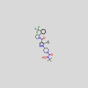 CC(C)(C)N(O)C(=O)N1CCC(n2ncc(C(=O)N3CCCC3c3ccccc3C(F)(F)F)c2C2CC2)CC1